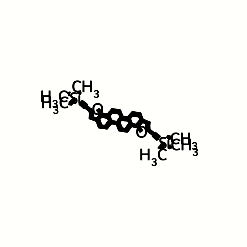 CC[Si](C#Cc1cc2ccc3c4ccc5c(ccc6cc(C#C[Si](CC)(CC)CC)oc65)c4ccc3c2o1)(CC)CC